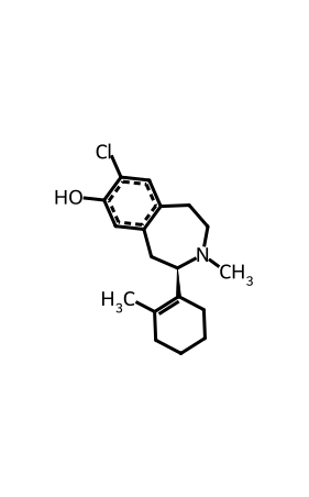 CC1=C([C@H]2Cc3cc(O)c(Cl)cc3CCN2C)CCCC1